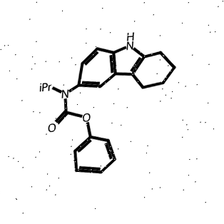 CC(C)N(C(=O)Oc1ccccc1)c1ccc2[nH]c3c(c2c1)CCCC3